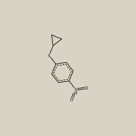 O=[SH](=O)c1ccc(SC2CC2)cc1